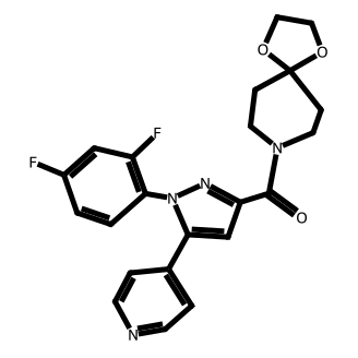 O=C(c1cc(-c2ccncc2)n(-c2ccc(F)cc2F)n1)N1CCC2(CC1)OCCO2